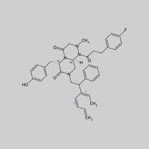 C=C/C=C\C(=C/C)C(CN1C[C@H]2N(C(=O)CN(C)N2C(=O)CCc2ccc(F)cc2)[C@@H](Cc2ccc(O)cc2)C1=O)c1ccccc1